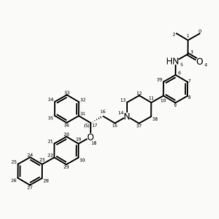 CC(C)C(=O)Nc1cccc(C2CCN(CC[C@H](Oc3ccc(-c4ccccc4)cc3)c3ccccc3)CC2)c1